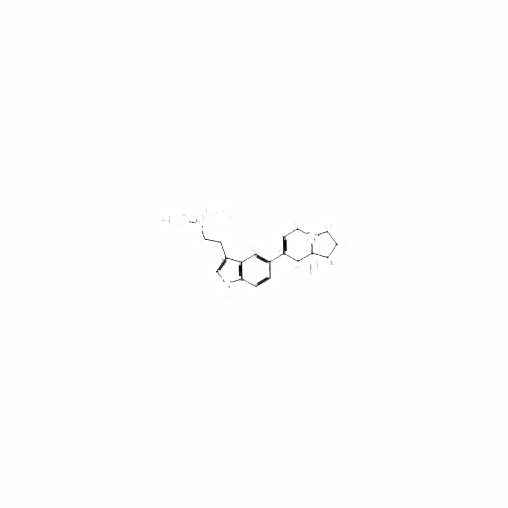 CN(C)CCc1c[nH]c2ccc(C3=CCN4CCC[C@H]4C3)cc12